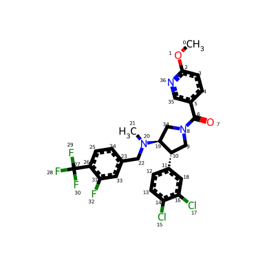 COc1ccc(C(=O)N2C[C@H](c3ccc(Cl)c(Cl)c3)[C@@H](N(C)Cc3ccc(C(F)(F)F)c(F)c3)C2)cn1